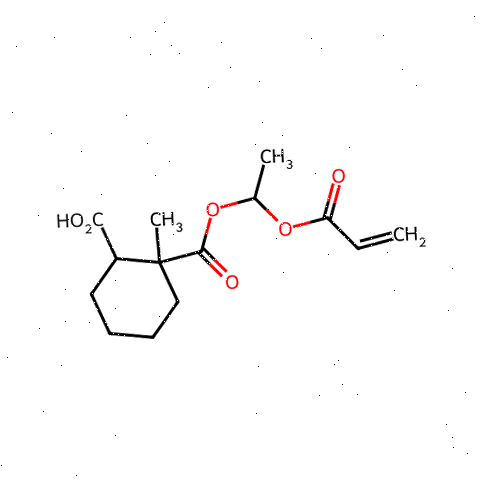 C=CC(=O)OC(C)OC(=O)C1(C)CCCCC1C(=O)O